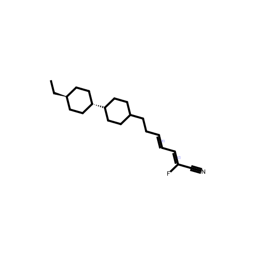 CC[C@H]1CC[C@H](C2CCC(CC/C=C/C=C(\F)C#N)CC2)CC1